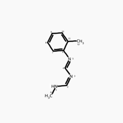 CN/C=N\C=N\c1ccccc1C